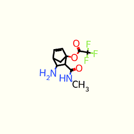 CNC(=O)C1C(N)C2C=CC1(OC(=O)C(F)(F)F)C2